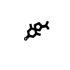 CC(C)=C1CCC2(C1)C(C)CC(=O)CC2C